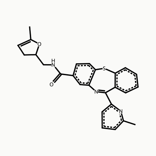 CC1=CCC(CNC(=O)c2ccc3c(c2)N=C(c2cccc(C)n2)c2ccccc2S3)O1